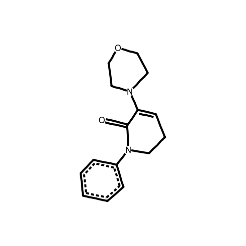 O=C1C(N2CCOCC2)=CCCN1c1ccccc1